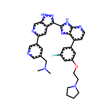 CN(C)Cc1cncc(-c2cc3c(-c4nc5c(-c6cc(F)cc(OCCN7CCCC7)c6)ccnc5[nH]4)n[nH]c3cn2)c1